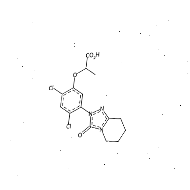 CC(Oc1cc(-n2nc3n(c2=O)CCCC3)c(Cl)cc1Cl)C(=O)O